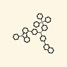 c1ccc(-n2c3ccccc3c3c(-c4ccc(N(c5ccc(-c6ccc7ccccc7c6)cc5)c5cccc([Si](c6ccccc6)(c6ccccc6)c6ccccc6)c5)cc4)cccc32)cc1